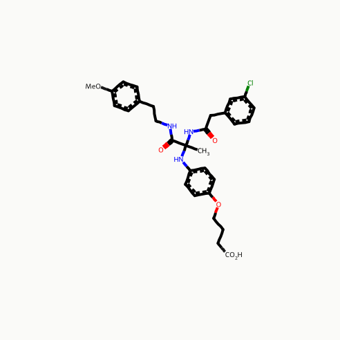 COc1ccc(CCNC(=O)C(C)(NC(=O)Cc2cccc(Cl)c2)Nc2ccc(OCCCC(=O)O)cc2)cc1